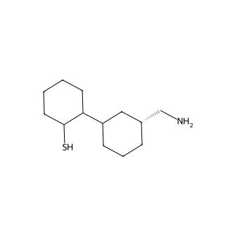 NC[C@@H]1CCCC(C2CCCCC2S)C1